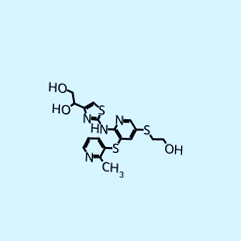 Cc1ncccc1Sc1cc(SCCO)cnc1Nc1nc(C(O)CO)cs1